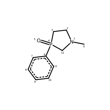 CN1CCP(=O)(c2ccccc2)C1